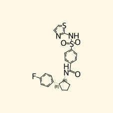 O=C(N[C@@H]1CCC[C@@H]1c1ccc(F)cc1)c1ccc(S(=O)(=O)Nc2nccs2)cc1